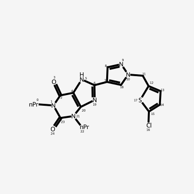 CCCn1c(=O)c2[nH]c(-c3cnn(Cc4ccc(Cl)s4)c3)nc2n(CCC)c1=O